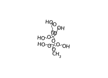 CCOCC(COCCO)(COCCO)COCC(COCCO)(COCCO)COCCCC(=O)O